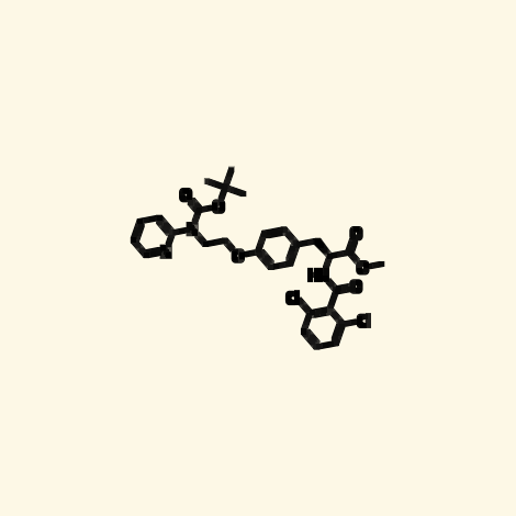 COC(=O)[C@H](Cc1ccc(OCCN(C(=O)OC(C)(C)C)c2ccccn2)cc1)NC(=O)c1c(Cl)cccc1Cl